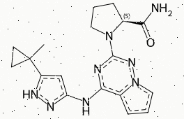 CC1(c2cc(Nc3nc(N4CCC[C@H]4C(N)=O)nn4cccc34)n[nH]2)CC1